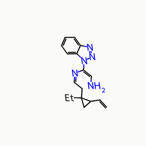 C=CC1CC1(CC)C/C=N\C(=C/N)n1nnc2ccccc21